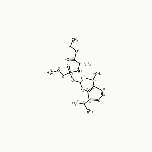 CCOC(=O)[C@H](C)NP(=O)(COC)OCOc1c(C(C)C)cccc1C(C)C